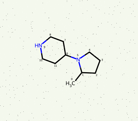 CC1CCCN1C1CCNCC1